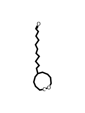 O=CCCCCCCCCCCC1CCCCCOCCCC1